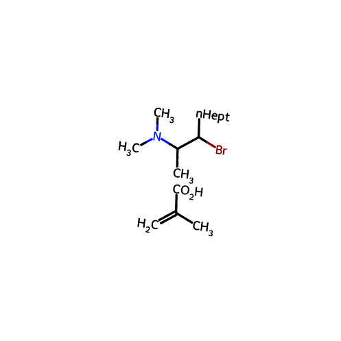 C=C(C)C(=O)O.CCCCCCCC(Br)C(C)N(C)C